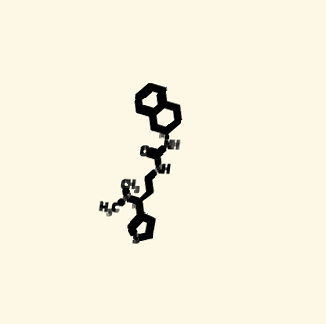 CN(C)[C@@H](CCNC(=O)N[C@H]1CCc2ccccc2C1)c1ccsc1